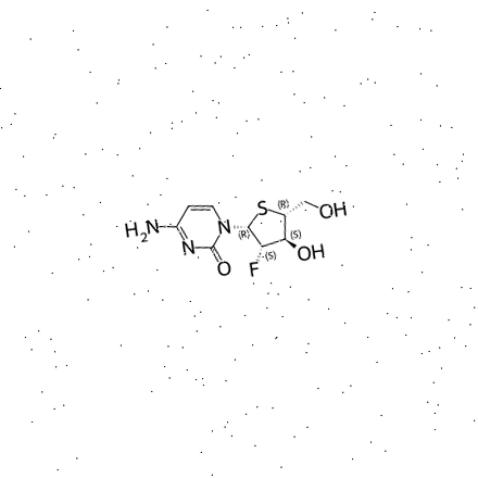 Nc1ccn([C@@H]2S[C@H](CO)[C@@H](O)[C@@H]2F)c(=O)n1